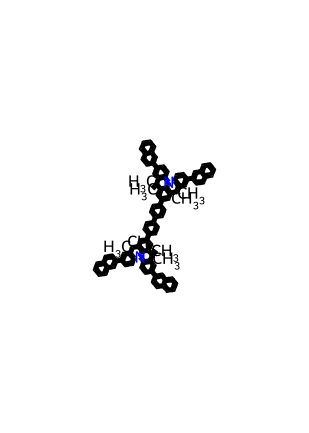 CC1(C)c2cc(-c3ccc4ccccc4c3)ccc2N2c3ccc(-c4ccc5ccccc5c4)cc3C(C)(C)c3cc(-c4ccc(-c5ccc(-c6cc7c8c(c6)C(C)(C)c6cc(-c9ccc%10ccccc%10c9)ccc6N8c6ccc(-c8ccc9ccccc9c8)cc6C7(C)C)cc5)cc4)cc1c32